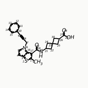 Cc1sc2ccn(CC#Cc3ccccc3)c2c1C(=O)NC1CC2(C1)CC(C(=O)O)C2